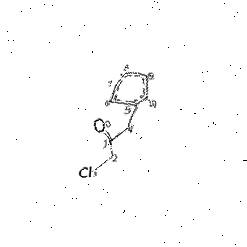 O=C(CCl)Cc1cc[c]cc1